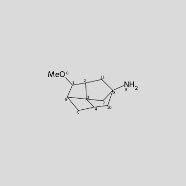 COC1C2CC3CC1CC(N)(C3)C2